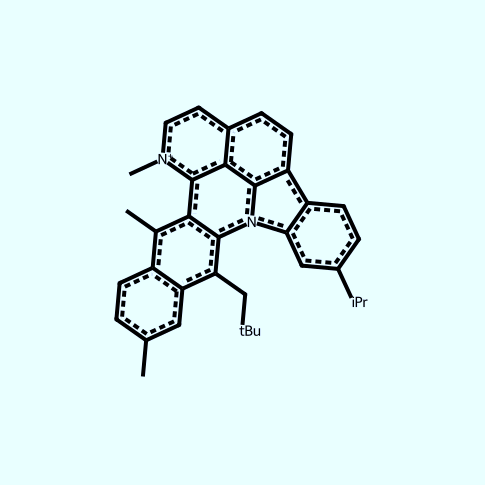 Cc1ccc2c(C)c3c(c(CC(C)(C)C)c2c1)n1c2cc(C(C)C)ccc2c2ccc4cc[n+](C)c3c4c21